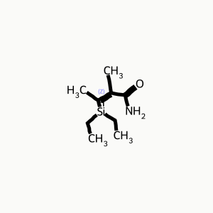 CC[SiH](CC)/C(C)=C(/C)C(N)=O